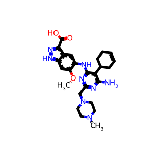 COc1cc2[nH]nc(C(=O)O)c2cc1Nc1nc(CN2CCN(C)CC2)nc(N)c1C1CC=CCC1